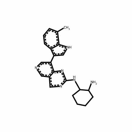 Cc1cccc2c(-c3cncc4cnc(NC5CCCCC5N)nc34)c[nH]c12